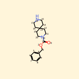 O=C(OCc1ccccc1)N1CCC2(CCNCC2)CC1